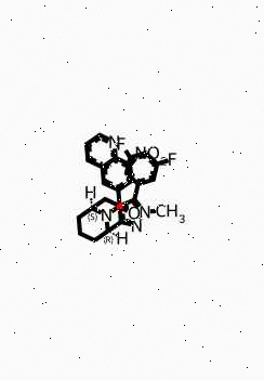 Cn1nc2c(c1-c1cc(F)cc(F)c1)C[C@@H]1CCC[C@H]2N1C(=O)c1cc([N+](=O)[O-])c2ncccc2c1